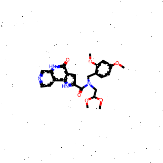 COc1ccc(CN(CC(OC)OC)C(=O)c2cc3c(=O)[nH]c4cnccc4c3[nH]2)c(OC)c1